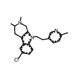 Cc1ccc(CCn2c3c(c4cc(Cl)ccc42)CC(C)N(C)C3)cn1